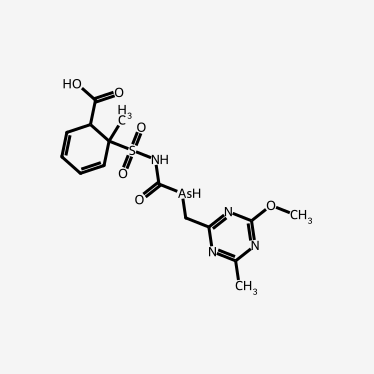 COc1nc(C)nc(C[AsH]C(=O)NS(=O)(=O)C2(C)C=CC=CC2C(=O)O)n1